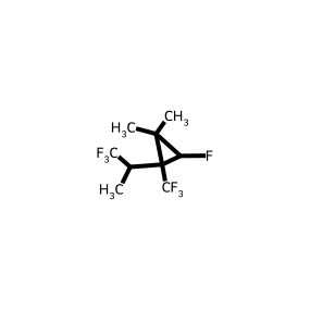 CC(C(F)(F)F)C1(C(F)(F)F)C(F)C1(C)C